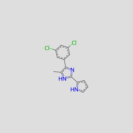 Cc1[nH]c(-c2ccc[nH]2)nc1-c1cc(Cl)cc(Cl)c1